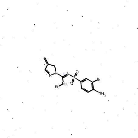 C=C1C=NN(/C(=N/S(=O)(=O)c2ccc(N)c(Br)c2)NCC)C1